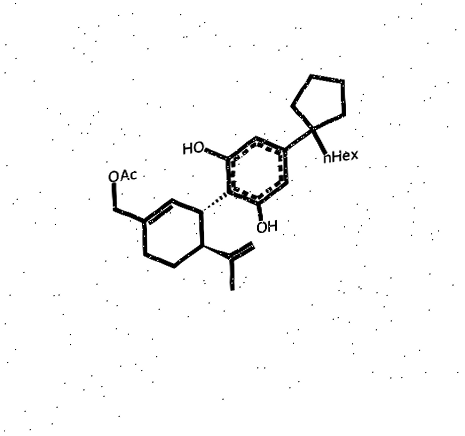 C=C(C)[C@H]1CCC(COC(C)=O)=C[C@@H]1c1c(O)cc(C2(CCCCCC)CCCC2)cc1O